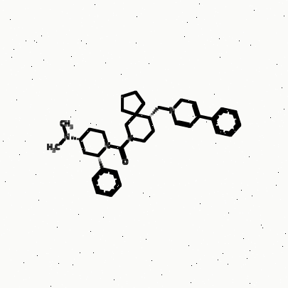 CN(C)[C@@H]1CCN(C(=O)N2CC[C@@H](CN3C=CC(c4ccccc4)=CC3)C3(CCCC3)C2)[C@H](c2ccccc2)C1